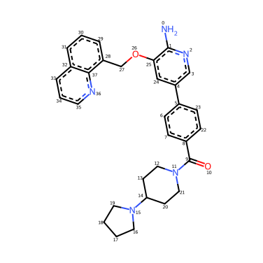 Nc1ncc(-c2ccc(C(=O)N3CCC(N4CCCC4)CC3)cc2)cc1OCc1cccc2cccnc12